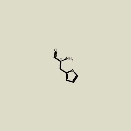 N[C@H]([C]=O)Cc1cccs1